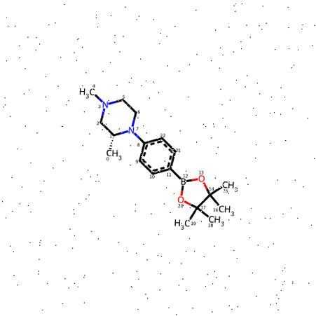 C[C@@H]1CN(C)CCN1c1ccc(B2OC(C)(C)C(C)(C)O2)cc1